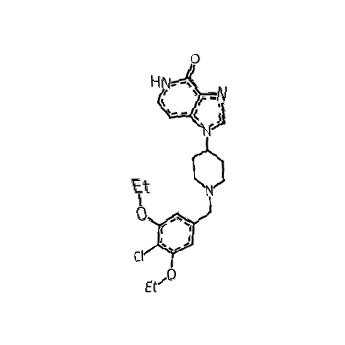 CCOc1cc(CN2CCC(n3cnc4c(=O)[nH]ccc43)CC2)cc(OCC)c1Cl